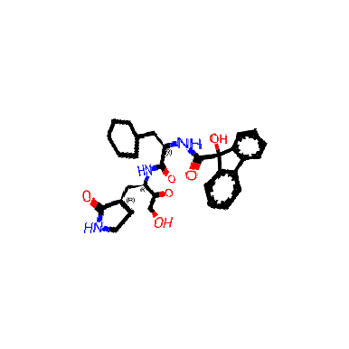 O=C1NCC[C@@H]1C[C@@H](NC(=O)[C@@H](CC1CCCCC1)NC(=O)C1(O)c2ccccc2-c2ccccc21)C(=O)CO